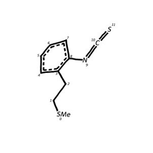 CSCCc1ccccc1N=C=S